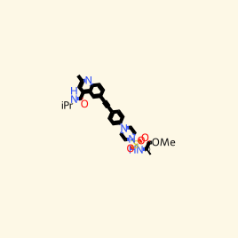 COC(=O)[C@@H](C)NS(=O)(=O)N1CCN(c2ccc(C#Cc3ccc4nc(C)cc(C(=O)NC(C)C)c4c3)cc2)CC1